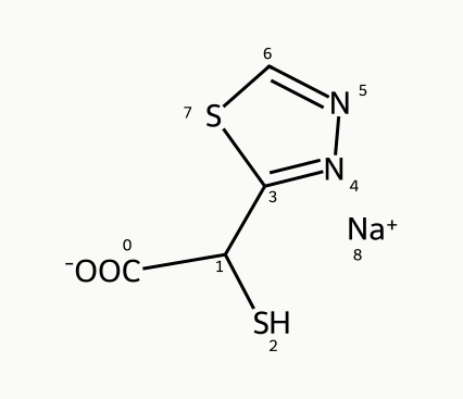 O=C([O-])C(S)c1nncs1.[Na+]